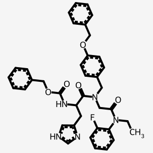 CCN(C(=O)CN(Cc1ccc(OCc2ccccc2)cc1)C(=O)C(Cc1c[nH]cn1)NC(=O)OCc1ccccc1)c1ccccc1F